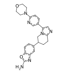 Nc1nc2cc(C3CCc4ncc(-c5ccc(N6CCOCC6)nc5)n4C3)ccc2o1